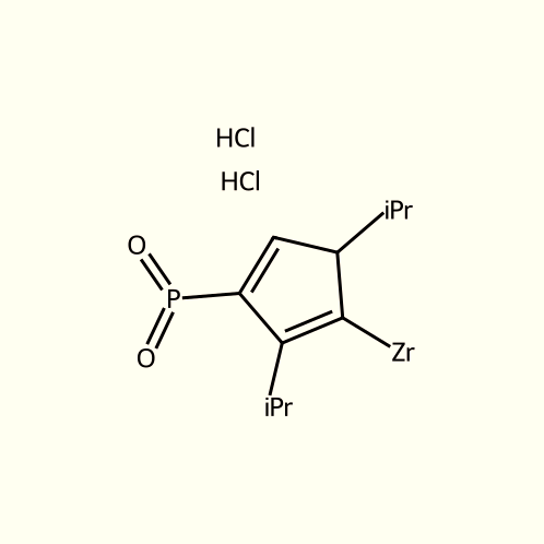 CC(C)C1=[C]([Zr])C(C(C)C)C=C1P(=O)=O.Cl.Cl